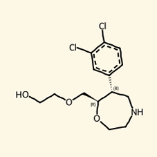 OCCOC[C@@H]1OCCNC[C@H]1c1ccc(Cl)c(Cl)c1